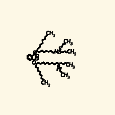 CCCCCCCCCC(CCCCCCCCC[SH](CCCC)SCCCC)OC(=O)c1ccccc1C(=O)OC(CCCCCCCCC)CCCCCCCCC[SH](CCCC)SCCCC